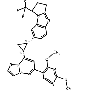 COc1ncc(-c2cc([C@H]3C[C@@H]3c3ccc4nc5n(c4c3)C(C(F)(F)F)CC5)c3nccn3n2)c(OC)n1